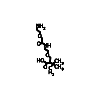 CC(C)(C)C(COCCNC(=O)COCCN)C(=O)O